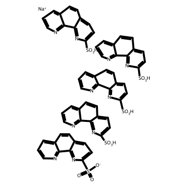 O=S(=O)(O)c1ccc2ccc3cccnc3c2n1.O=S(=O)(O)c1ccc2ccc3cccnc3c2n1.O=S(=O)(O)c1ccc2ccc3cccnc3c2n1.O=S(=O)(O)c1ccc2ccc3cccnc3c2n1.O=S(=O)([O-])c1ccc2ccc3cccnc3c2n1.[Na+]